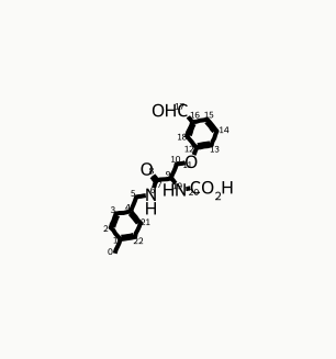 Cc1ccc(CNC(=O)C(COc2cccc(C=O)c2)NC(=O)O)cc1